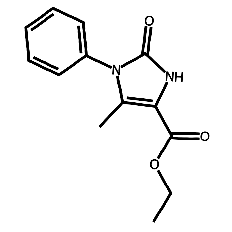 CCOC(=O)c1[nH]c(=O)n(-c2ccccc2)c1C